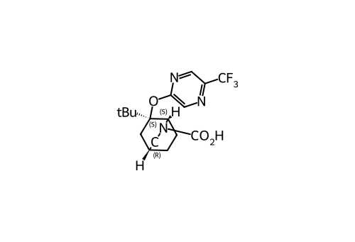 CC(C)(C)[C@@]1(Oc2cnc(C(F)(F)F)cn2)C[C@H]2CC[C@@H]1N(C(=O)O)C2